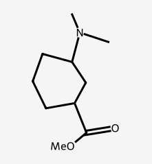 COC(=O)C1CCCC(N(C)C)C1